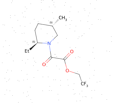 CC[C@H]1CC[C@H](C)CN1C(=O)C(=O)OCC(F)(F)F